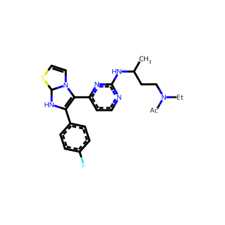 CCN(CCC(C)Nc1nccc(C2=C(c3ccc(F)cc3)NC3SC=CN23)n1)C(C)=O